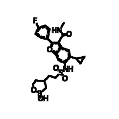 CNC(=O)c1c(-c2ccc(F)cc2)oc2cc(NS(=O)(=O)CCC3CCOB(O)C3)c(C3CC3)cc12